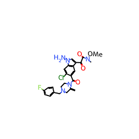 C=C1CN(Cc2ccc(F)cc2)CCN1C(=O)c1cc2c(C(=O)C(=O)N(C)OC)cn(N)c2cc1Cl